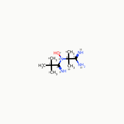 CC(C)(C)C(=N)N(O)C(C)(C)C(=N)N